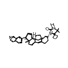 CC1(C)NC(=O)N([C@@H]2CCC3=CC4=CC[C@]5(C)[C@@H](c6ccc7ccncc7c6)CC[C@H]5[C@@]45CC[C@]3(C2)C5)C1=O